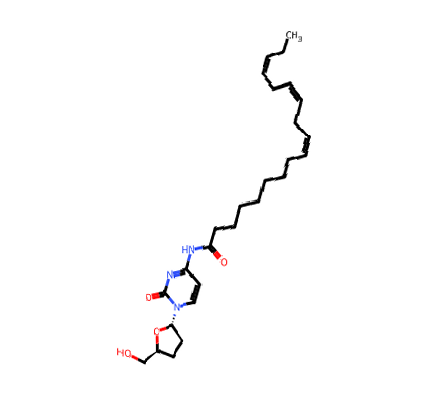 CC/C=C\C/C=C\C/C=C\CCCCCCCC(=O)Nc1ccn([C@@H]2CC[C@@H](CO)O2)c(=O)n1